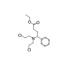 CCOC(=O)CCC(c1ccccc1)N(CCCl)CCCl